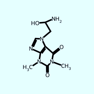 Cn1c(=O)c2c(ncn2CC(N)O)n(C)c1=O